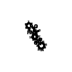 Cc1c(C(=O)N2CCCCC2C)[nH]c2ccc(S(=O)(=O)N3CCCCCC3)cc12